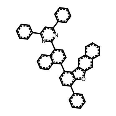 c1ccc(-c2cc(-c3ccccc3)nc(-c3ccc(-c4ccc(-c5ccccc5)c5oc6cc7ccccc7cc6c45)c4ccccc34)n2)cc1